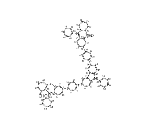 Cc1cc(-c2ccc(-c3ccc4c(c3)c3cc(-c5ccc(-c6ccc7c(c6)c(=O)c6ccccc6n7-c6ccccc6)cc5)ccc3n4-c3ccccc3)cc2)ccc1N(c1ccccc1)c1ccccc1C=O